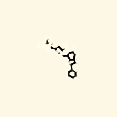 Cc1cc(C(=O)NC(C)C)nn1Cc1cc(Cl)cc2cc(-c3ccccc3)oc12